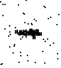 COc1ccc(COc2c[nH]c(C(=O)O)cc2=O)cc1